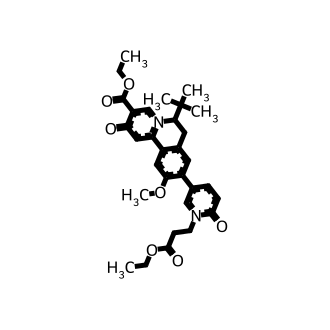 CCOC(=O)CCn1cc(-c2cc3c(cc2OC)-c2cc(=O)c(C(=O)OCC)cn2C(C(C)(C)C)C3)ccc1=O